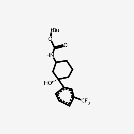 CC(C)(C)OC(=O)NC1CCC[C@@](O)(c2cccc(C(F)(F)F)c2)C1